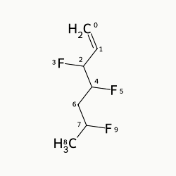 C=CC(F)C(F)CC(C)F